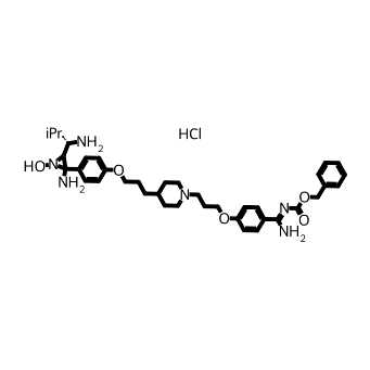 CC(C)[C@H](N)C1N(O)C1(N)c1ccc(OCCCC2CCN(CCCOc3ccc(C(N)=NC(=O)OCc4ccccc4)cc3)CC2)cc1.Cl